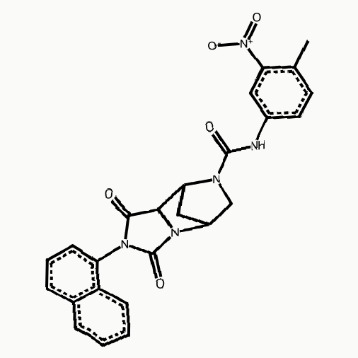 Cc1ccc(NC(=O)N2CC3CC2C2C(=O)N(c4cccc5ccccc45)C(=O)N32)cc1[N+](=O)[O-]